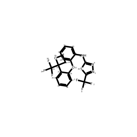 FC(F)(F)c1nnc(Nc2cccnc2Oc2ccccc2C2(C(F)(F)F)CCO2)s1